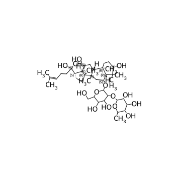 CC(C)=CCC[C@](C)(O)[C@H]1CC[C@]2(C)[C@@H]1[C@H](O)C[C@@H]1[C@@]3(C)CC[C@H](O)C(C)(C)[C@@H]3[C@@H](OC3OC(CO)C(O)C(O)C3OC3OC(C)C(O)C(O)C3O)C[C@]12C